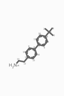 CC(C)(C)c1ccc(-c2ccc(CCN)cc2)cc1